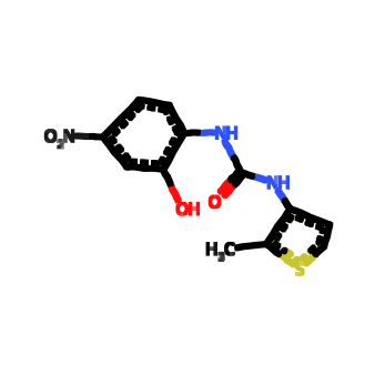 Cc1sccc1NC(=O)Nc1ccc([N+](=O)[O-])cc1O